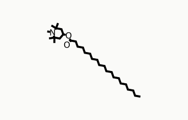 CCCCCCCCCCCCCCCCCCCC(=O)OC1CC(C)(C)N(C)C(C)(C)C1